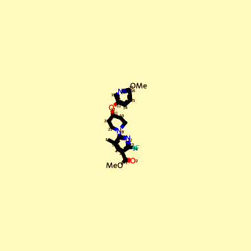 COC(=O)c1cc(C)c(N2CCC(Oc3ccc(OC)nc3)CC2)nc1F